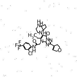 CCc1c(N2CCN[C@@H]3CC[C@@H]32)c(=O)n2nc(C3=CCOCC3)nc2n1CC(=O)Nc1ccc(C(F)(F)F)cc1Cl